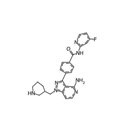 Nc1nccc2c1c(-c1ccc(C(=O)Nc3cc(F)ccn3)cc1)nn2CC1CCCNC1